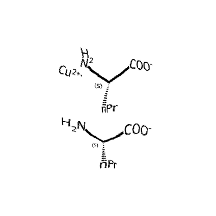 CCC[C@H](N)C(=O)[O-].CCC[C@H](N)C(=O)[O-].[Cu+2]